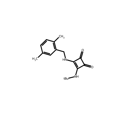 Cc1ccc(C)c(CNc2c(NC(C)(C)C)c(=O)c2=O)c1